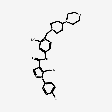 Cc1c(C(=O)Nc2ccc(CN3CCC(N4CCOCC4)CC3)c(C#N)c2)cnn1-c1ccc(Cl)cc1